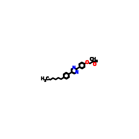 CCCCCCc1ccc(-c2cnc(-c3ccc(OCC4(C)CO4)cc3)nc2)cc1